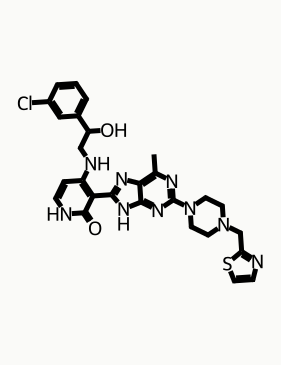 Cc1nc(N2CCN(Cc3nccs3)CC2)nc2[nH]c(-c3c(NCC(O)c4cccc(Cl)c4)cc[nH]c3=O)nc12